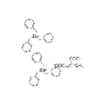 C/C(=C/C(=O)[O-])C(=O)[O-].c1ccc([CH2][Sn+]([CH2]c2ccccc2)[CH2]c2ccccc2)cc1.c1ccc([CH2][Sn+]([CH2]c2ccccc2)[CH2]c2ccccc2)cc1